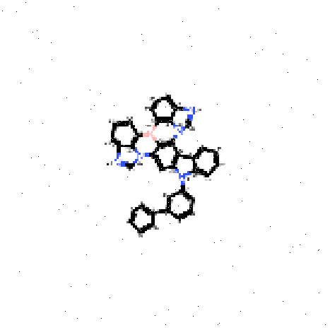 c1ccc(-c2cccc(-n3c4ccccc4c4c5c6c(cc43)-n3cnc4cccc(c43)B6c3cccc4ncn-5c34)c2)cc1